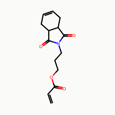 C=CC(=O)OCCCN1C(=O)C2CC=CCC2C1=O